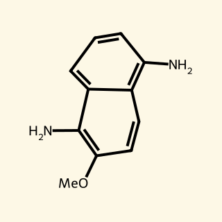 COc1ccc2c(N)cccc2c1N